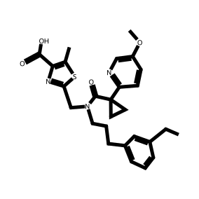 CCc1cccc(CCCN(Cc2nc(C(=O)O)c(C)s2)C(=O)C2(c3ccc(OC)cn3)CC2)c1